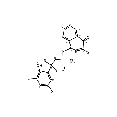 Cc1cc(C)c(O)c(C(C)(C)CC(O)(Cn2cc(C)c(=O)c3ncccc32)C(F)(F)F)c1